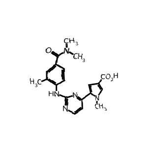 Cc1cc(C(=O)N(C)C)ccc1Nc1nccc(-c2cc(C(=O)O)cn2C)n1